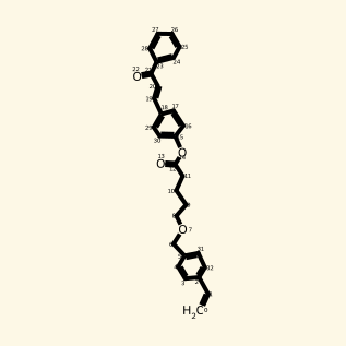 C=Cc1ccc(COCCCCC(=O)Oc2ccc(C=CC(=O)c3ccccc3)cc2)cc1